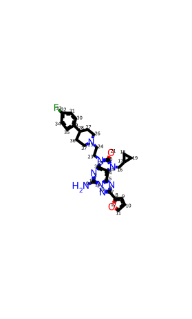 Nc1nc2c(c3nc(-c4ccco4)nn13)n(CC1CC1)c(=O)n2CCN1CCC(c2ccc(F)cc2)CC1